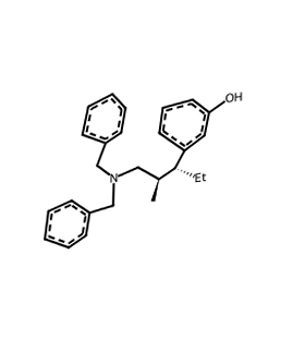 CC[C@@H](c1cccc(O)c1)[C@@H](C)CN(Cc1ccccc1)Cc1ccccc1